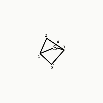 [CH]1C2CC1S2